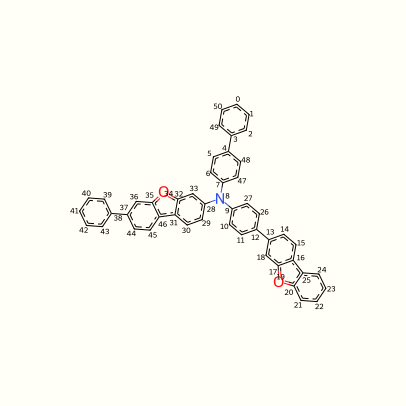 c1ccc(-c2ccc(N(c3ccc(-c4ccc5c(c4)oc4ccccc45)cc3)c3ccc4c(c3)oc3cc(-c5ccccc5)ccc34)cc2)cc1